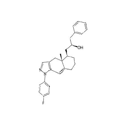 C[C@]12Cc3cnn(-c4ccc(F)cc4)c3C=C1CCC[C@@H]2C[C@H](O)Cc1ccccc1